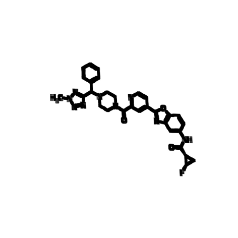 Cn1nnc(C(c2ccccc2)N2CCN(C(=O)c3cc(-c4nc5cc(NC(=O)[C@H]6C[C@H]6F)ccc5o4)ccn3)CC2)n1